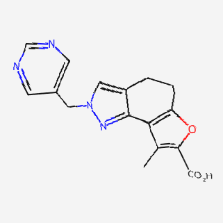 Cc1c(C(=O)O)oc2c1-c1nn(Cc3cncnc3)cc1CC2